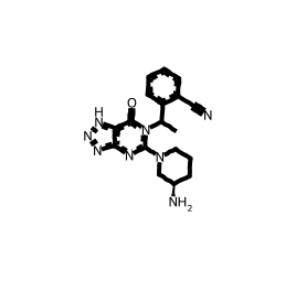 CC(c1ccccc1C#N)n1c(N2CCC[C@@H](N)C2)nc2nn[nH]c2c1=O